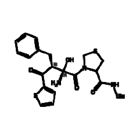 CC(C)(C)NC(=O)C1CSCN1C(=O)[C@@](N)(O)[C@H](Cc1ccccc1)C(=O)c1cccs1